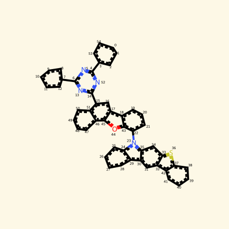 c1ccc(-c2nc(-c3ccccc3)nc(-c3cc4c5cccc(-n6c7ccccc7c7cc8c(cc76)sc6ccccc68)c5oc4c4ccccc34)n2)cc1